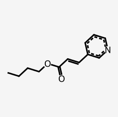 CCCCOC(=O)C=Cc1cccnc1